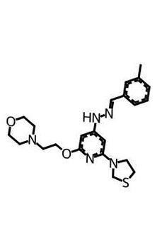 Cc1cccc(/C=N/Nc2cc(OCCN3CCOCC3)nc(N3CCSC3)c2)c1